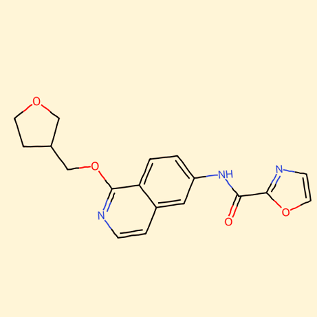 O=C(Nc1ccc2c(OCC3CCOC3)nccc2c1)c1ncco1